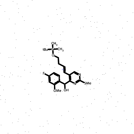 COc1cc(F)ccc1C(O)c1nc(SC)ncc1/C=C/CCO[Si](C)(C)C(C)(C)C